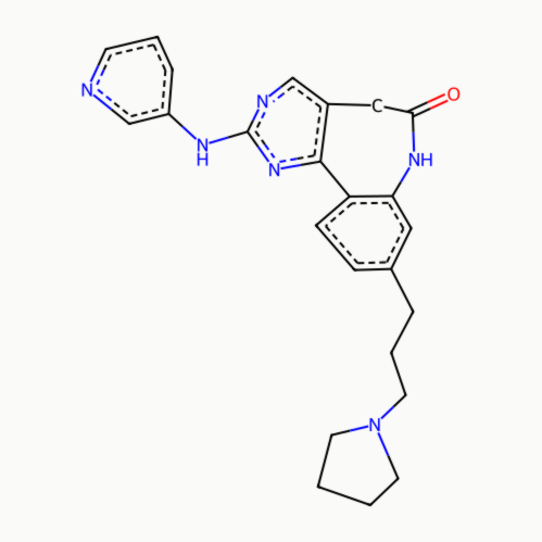 O=C1Cc2cnc(Nc3cccnc3)nc2-c2ccc(CCCN3CCCC3)cc2N1